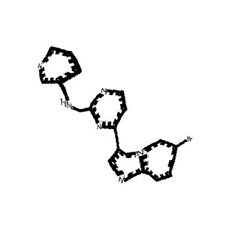 Brc1ccc2ncc(-c3ccnc(Nc4cccnc4)n3)n2c1